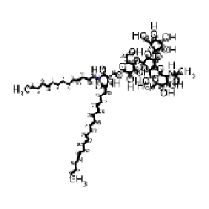 CCCCCCCCCCCCC/C=C/[C@@H](O)[C@H](CO[C@@H]1OC(CO)[C@@H](O[C@@H]2OC(CO)[C@H](O[C@@H]3OC(CO)[C@H](O)[C@H](O)C3NC(C)=O)[C@H](O[C@H]3OC(CO)[C@H](O)[C@H](O)C3O)C2O)[C@H](O)C1O)NC(=O)CCCCCCCCCCCCCCCCCCC